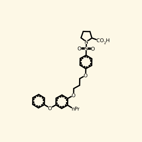 CCCc1cc(Oc2ccccc2)ccc1OCCCOc1ccc(S(=O)(=O)N2CCCC2C(=O)O)cc1